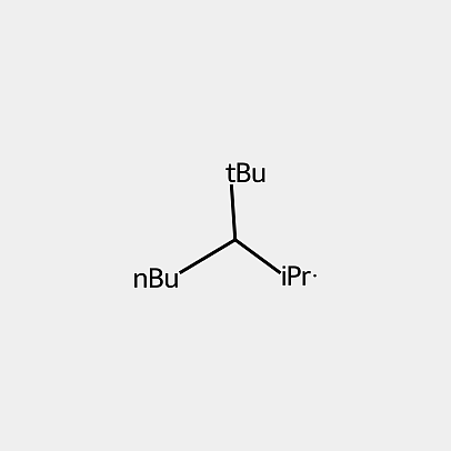 CCCCC([C](C)C)C(C)(C)C